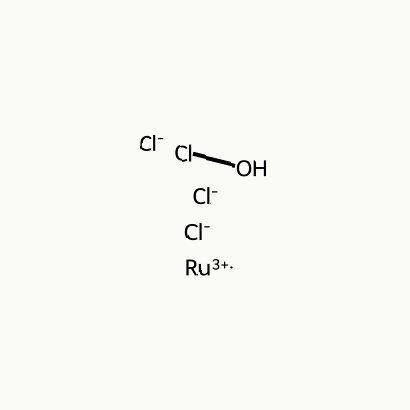 OCl.[Cl-].[Cl-].[Cl-].[Ru+3]